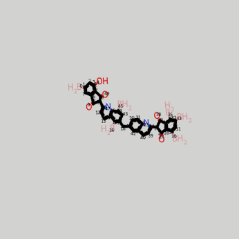 Bc1cc(O)c2c(c1)C(=O)C(c1ccc3c(B)c(Cc4ccc5nc(C6C(=O)c7c(B)cc(B)c(B)c7C6=O)ccc5c4)cc(B)c3n1)C2=O